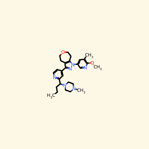 CCCC(c1cc(-c2nn(-c3cnc(OC)c(C)c3)c3c2CCOCC3)ccn1)N1CCN(C)CC1